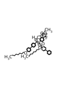 CCCCCCCCOc1ccc(-c2ccc(C(=O)N(OC(=O)C3(OCCCCCCCC)C=CC(c4ccccc4)=CC3)c3ccc(C(F)(F)P(=O)(OCC)OCC)cc3)cc2)cc1